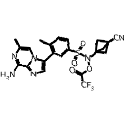 Cc1cn2c(-c3cc(S(=O)(=O)N(OC(=O)C(F)(F)F)C45CC(C#N)(C4)C5)ccc3C)cnc2c(N)n1